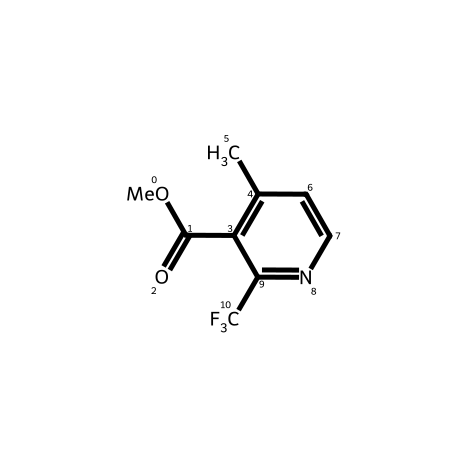 COC(=O)c1c(C)ccnc1C(F)(F)F